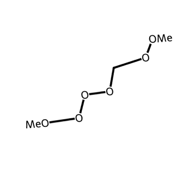 COOCOOOOC